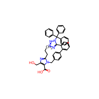 CCCc1nc(CO)c(C(=O)O)n1Cc1ccc(-c2ccccc2-c2nnnn2C(c2ccccc2)(c2ccccc2)c2ccccc2)cc1